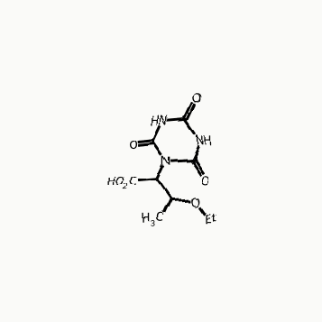 CCOC(C)C(C(=O)O)n1c(=O)[nH]c(=O)[nH]c1=O